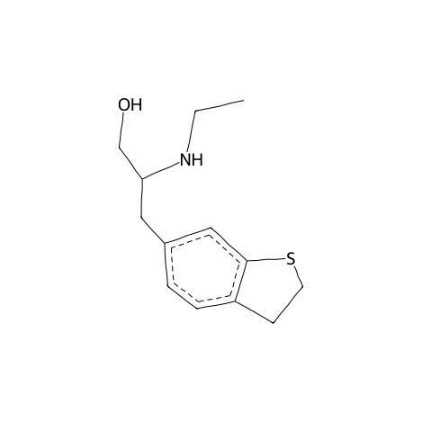 CCNC(CO)Cc1ccc2c(c1)SCC2